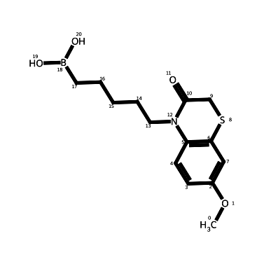 COc1ccc2c(c1)SCC(=O)N2CCCCCB(O)O